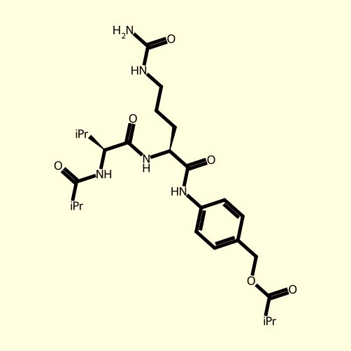 CC(C)C(=O)N[C@H](C(=O)N[C@@H](CCCNC(N)=O)C(=O)Nc1ccc(COC(=O)C(C)C)cc1)C(C)C